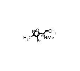 C=C[C@@H](NC)c1onc(C)c1Br